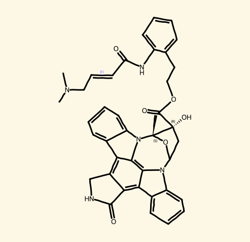 CN(C)C/C=C/C(=O)Nc1ccccc1CCOC(=O)[C@@]1(O)CC2O[C@]1(C)n1c3ccccc3c3c4c(c5c6ccccc6n2c5c31)C(=O)NC4